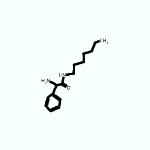 CCCCCCCNC(=O)C(N)c1ccccc1